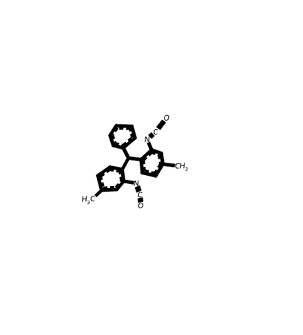 Cc1ccc(C(c2ccccc2)c2ccc(C)cc2N=C=O)c(N=C=O)c1